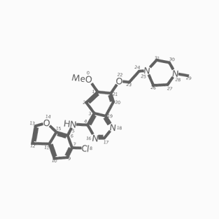 COc1cc2c(Nc3c(Cl)ccc4ccoc34)ncnc2cc1OCCN1CCN(C)CC1